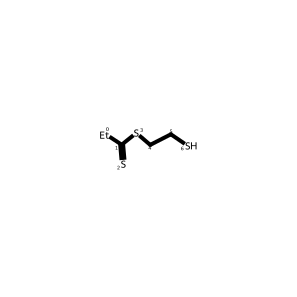 CCC(=S)SCCS